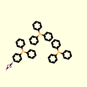 [I][Co][I].c1ccc(P(c2ccccc2)c2ccccc2)cc1.c1ccc(P(c2ccccc2)c2ccccc2)cc1.c1ccc(P(c2ccccc2)c2ccccc2)cc1